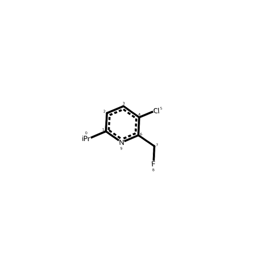 CC(C)c1ccc(Cl)c(CF)n1